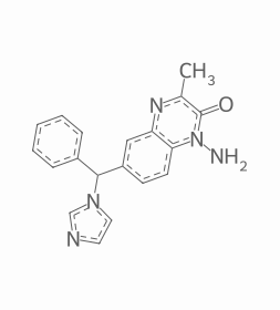 Cc1nc2cc(C(c3ccccc3)n3ccnc3)ccc2n(N)c1=O